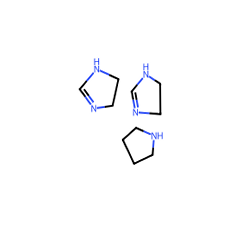 C1=NCCN1.C1=NCCN1.C1CCNC1